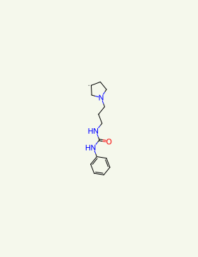 O=C(NCCCN1C[CH]CC1)Nc1ccccc1